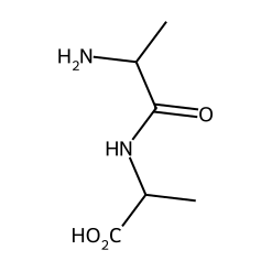 CC(N)C(=O)NC(C)C(=O)O